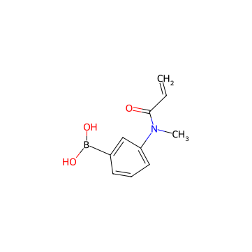 C=CC(=O)N(C)c1cccc(B(O)O)c1